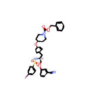 N#Cc1cccc(OC[C@H](Cc2ccc(OC3CCN(C(=O)OCc4ccccc4)CC3)cc2)NS(=O)(=O)c2ccc(I)cc2)c1